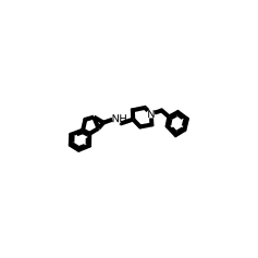 c1ccc(CN2CCC(CNC3C4Cc5ccccc5C43)CC2)cc1